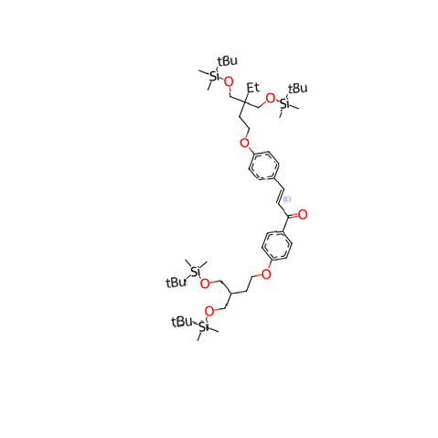 CCC(CCOc1ccc(/C=C/C(=O)c2ccc(OCCC(CO[Si](C)(C)C(C)(C)C)CO[Si](C)(C)C(C)(C)C)cc2)cc1)(CO[Si](C)(C)C(C)(C)C)CO[Si](C)(C)C(C)(C)C